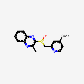 COc1ccnc(C[S+]([O-])c2nc3ccccc3nc2C)c1